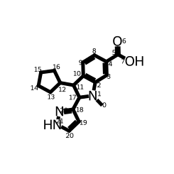 CN1c2cc(C(=O)O)ccc2C(C2CCCC2)C1c1cc[nH]n1